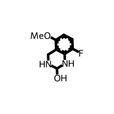 COc1ccc(F)c2c1CNC(O)N2